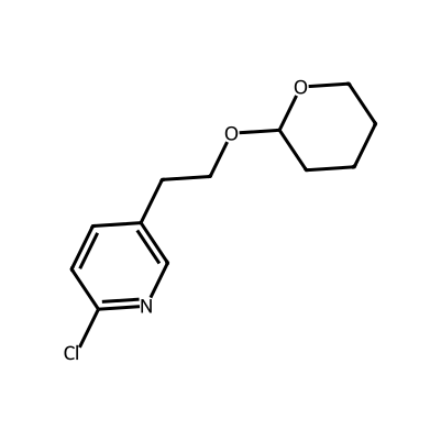 Clc1ccc(CCOC2CCCCO2)cn1